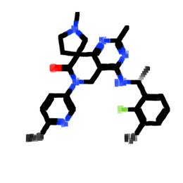 COc1ccc(N2Cc3c(N[C@H](C)c4cccc(C(F)(F)F)c4F)nc(C)nc3C3(CCN(C)C3)C2=O)cn1